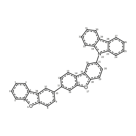 c1ccc2c(c1)oc1ccc(-c3ccc4c(c3)oc3ccc(-n5c6ccccc6c6ccccc65)cc34)cc12